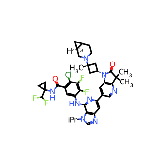 CC(C)n1cnc2cc(-c3cnc4c(c3)N([C@H]3C[C@@](C)(N5CCC6C[C@@H]6C5)C3)C(=O)C4(C)C)nc(Nc3cc(C(=O)NC4(C(F)F)CC4)c(Cl)c(F)c3F)c21